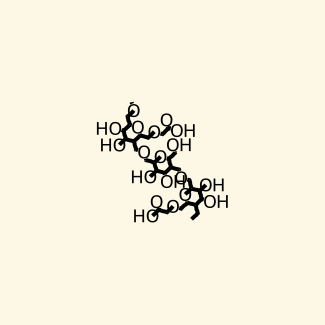 CCC1C(COCC(=O)O)OC(COCC2C(CO)OC(COCC3C(COCC(=O)O)OC(COC)C(O)C3O)C(O)C2O)C(O)C1O